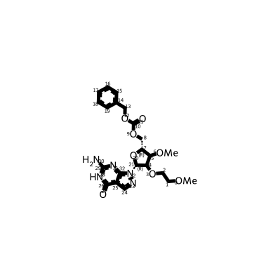 COCCOC1C(OC)[C@@H](COC(=O)OCc2ccccc2)O[C@H]1n1ncc2c(=O)[nH]c(N)nc21